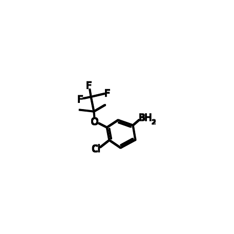 Bc1ccc(Cl)c(OC(C)(C)C(F)(F)F)c1